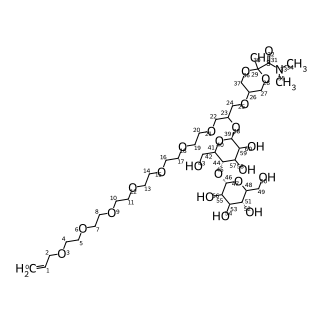 C=CCOCCOCCOCCOCCOCCOCCOCC(COC1COC(C)(C(=O)N(C)C)OC1)O[C@@H]1OC(CO)[C@@H](O[C@@H]2OC(CO)[C@H](O)C(O)C2O)C(O)C1O